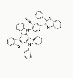 N#Cc1cc(-c2nc3ccccc3nc2-c2ccccc2)ccc1-n1c2ccccc2c2c3c4ccccc4sc3c3c(c4ccccc4n3-c3ccccc3)c21